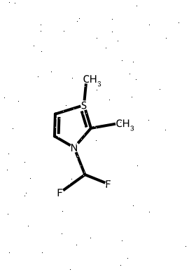 CC1=S(C)C=CN1C(F)F